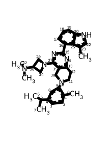 Cc1ccc(C(C)C)cc1N1CCc2nc(-c3cccc4[nH]cc(C)c34)nc(N3CC(N(C)C)C3)c2C1